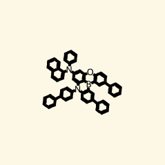 c1ccc(-c2ccc(N3c4ccc(-c5ccccc5)cc4B4c5cc(-c6ccccc6)ccc5Oc5cc(N(c6ccccc6)c6cccc7ccccc67)cc3c54)cc2)cc1